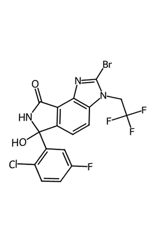 O=C1NC(O)(c2cc(F)ccc2Cl)c2ccc3c(nc(Br)n3CC(F)(F)F)c21